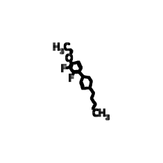 CCCCCC1C=CC(c2ccc(OCC)c(F)c2F)CC1